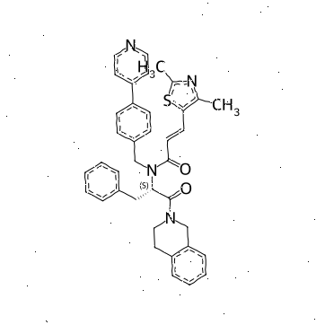 Cc1nc(C)c(C=CC(=O)N(Cc2ccc(-c3ccncc3)cc2)[C@@H](Cc2ccccc2)C(=O)N2CCc3ccccc3C2)s1